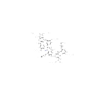 O=C(O)CC(Nc1nc(Nc2ccc(/C=C/c3ccc(Nc4nc(Nc5cc(SOOO)ccc5S(=O)(=O)O)nc(NC(CC(=O)O)C(=O)O)n4)cc3S(=O)(=O)O)c(SOOO)c2)nc(Nc2cc(S(=O)(=O)O)ccc2SOOO)n1)C(=O)O